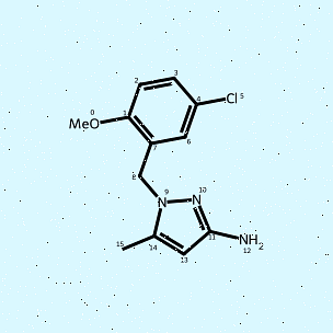 COc1ccc(Cl)cc1Cn1nc(N)cc1C